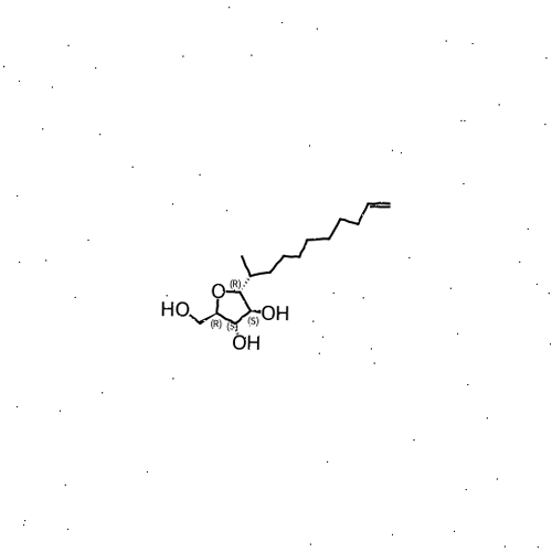 C=CCCCCCCCC(C)[C@H]1O[C@H](CO)[C@@H](O)[C@@H]1O